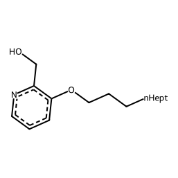 CCCCCCCCCCOc1cccnc1CO